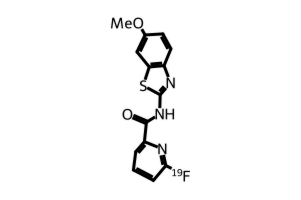 COc1ccc2nc(NC(=O)c3cccc([19F])n3)sc2c1